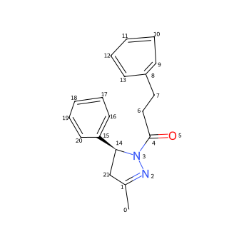 CC1=NN(C(=O)CCc2ccccc2)[C@H](c2ccccc2)C1